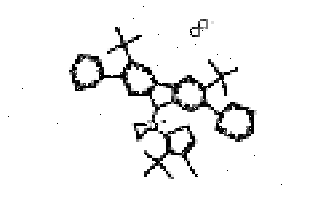 CC1=CC[C]([Zr+2]2([CH]3c4cc(-c5ccccc5)c(C(C)(C)C)cc4-c4cc(C(C)(C)C)c(-c5ccccc5)cc43)[CH2][CH2]2)=C1C(C)(C)C.[Cl-].[Cl-]